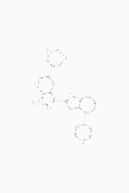 c1cc(-c2ccncc2)c2cc(-c3n[nH]c4ncc(-c5cncnc5)cc34)[nH]c2c1